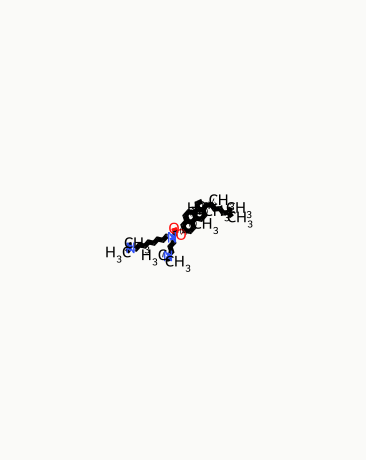 CC(C)CCC[C@@H](C)[C@H]1CC[C@H]2[C@@H]3CC=C4C[C@@H](OC(=O)N(CCCCCCCCN(C)C)CCCN(C)C)CC[C@]4(C)C3CC[C@]12C